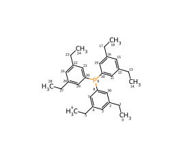 CCc1cc(CC)cc(P(c2cc(CC)cc(CC)c2)c2cc(CC)cc(CC)c2)c1